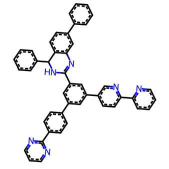 c1ccc(-c2ccc3c(c2)N=C(c2cc(-c4ccc(-c5ncccn5)cc4)cc(-c4ccc(-c5ccccn5)nc4)c2)NC3c2ccccc2)cc1